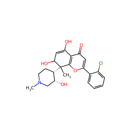 CN1CC[C@H](C2(C)c3oc(-c4ccccc4Cl)cc(=O)c3C(O)=CC2O)[C@H](O)C1